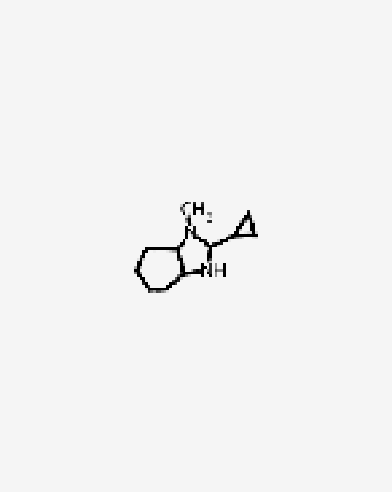 CN1C2CCCCC2NC1C1CC1